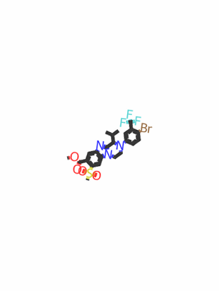 COC(=O)c1cc2nc3n(c2cc1S(C)(=O)=O)CCN(c1ccc(Br)c(C(F)(F)F)c1)C3C(C)C